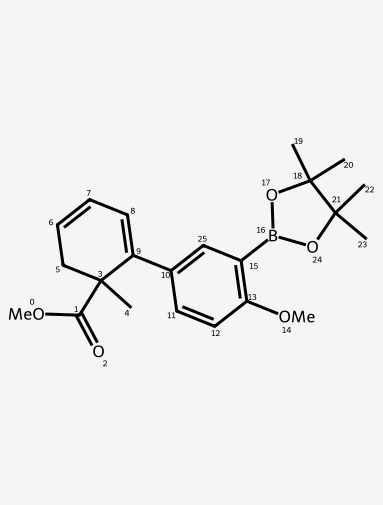 COC(=O)C1(C)CC=CC=C1c1ccc(OC)c(B2OC(C)(C)C(C)(C)O2)c1